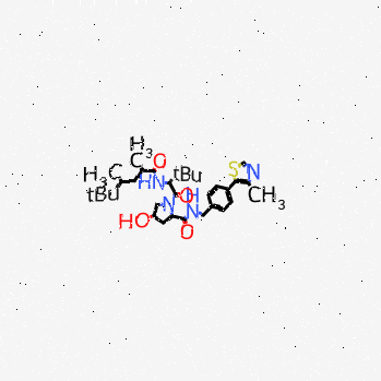 Cc1ncsc1-c1ccc(CNC(=O)C2CC(O)CN2C(=O)C(NC(=O)C(C)CC(C)C(C)(C)C)C(C)(C)C)cc1